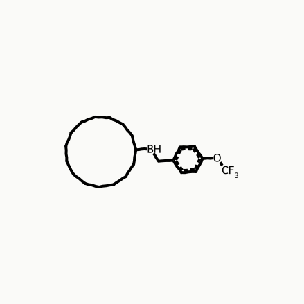 FC(F)(F)Oc1ccc(CBC2CCCCCCCCCCCCCC2)cc1